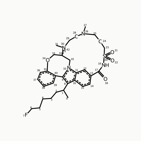 CC(CCCCCF)c1c2n3c4cc(ccc14)C(=O)NS(=O)(=O)CCCN(C)CCN(C)[C@@H](COc1ccccc1-2)C3